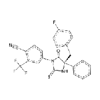 N#Cc1ccc(N2C(=O)[C@](Cc3ccc(F)cc3)(c3ccccc3)NC2=S)cc1C(F)(F)F